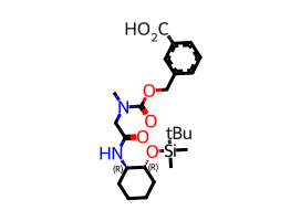 CN(CC(=O)N[C@@H]1CCCC[C@H]1O[Si](C)(C)C(C)(C)C)C(=O)OCc1cccc(C(=O)O)c1